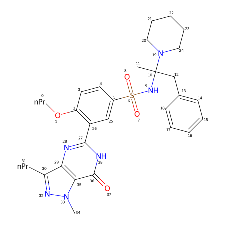 CCCOc1ccc(S(=O)(=O)NC(C)(Cc2ccccc2)N2CCCCC2)cc1-c1nc2c(CCC)nn(C)c2c(=O)[nH]1